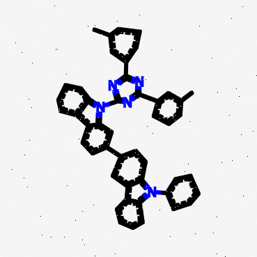 Cc1cccc(-c2nc(-c3cccc(C)c3)nc(-n3c4ccccc4c4ccc(-c5ccc6c(c5)c5ccccc5n6-c5ccccc5)cc43)n2)c1